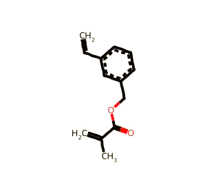 C=Cc1cccc(COC(=O)C(=C)C)c1